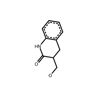 [O]CC1Cc2ccccc2NC1=O